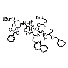 CC(C)[C@H](NC(=O)[C@H](Cc1ccc2ccccc2n1)NC(=O)[C@H](CC(=O)OC(C)(C)C)NC(=O)OCc1ccccc1)C(=O)N[C@H](/C=C/S(=O)(=O)c1ccccc1)CC(=O)OC(C)(C)C